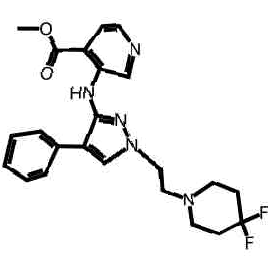 COC(=O)c1ccncc1Nc1nn(CCN2CCC(F)(F)CC2)cc1-c1ccccc1